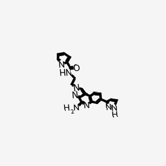 Nc1nc2cc(-c3cc[nH]n3)ccc2c2cn(CCNC(=O)c3ccccn3)nc12